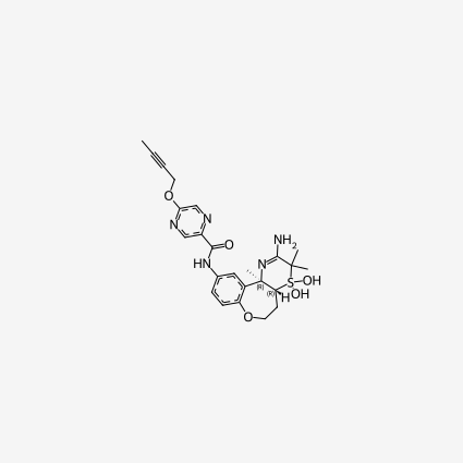 CC#CCOc1cnc(C(=O)Nc2ccc3c(c2)[C@@]2(C)N=C(N)C(C)(C)S(O)(O)[C@@H]2CCO3)cn1